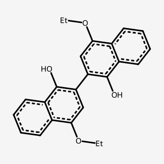 CCOc1cc(-c2cc(OCC)c3ccccc3c2O)c(O)c2ccccc12